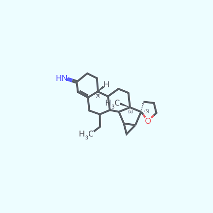 CCC1CC2=CC(=N)CC[C@@H]2C2CC[C@@]3(C)C(C4CC4[C@@]34CCCO4)C12